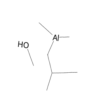 CC(C)[CH2][Al]([CH3])[CH3].CO